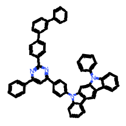 c1ccc(-c2cccc(-c3ccc(-c4nc(-c5ccccc5)cc(-c5ccc(-n6c7ccccc7c7cc8c9ccccc9n(-c9ccccc9)c8cc76)cc5)n4)cc3)c2)cc1